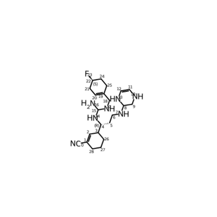 N#CC1=CC([C@@H](CCNC2CNC=CN2)NC(N)NCC2=CC[C@@H](F)CC2)CCC1